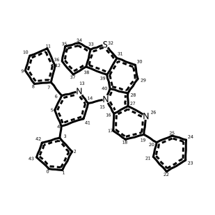 c1ccc(-c2cc(-c3ccccc3)nc(-n3c4ccc(-c5ccccc5)nc4c4ccc5sc6ccccc6c5c43)c2)cc1